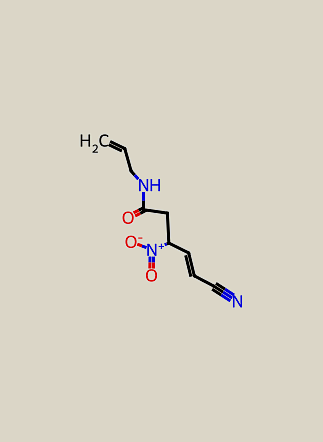 C=CCNC(=O)CC(/C=C/C#N)[N+](=O)[O-]